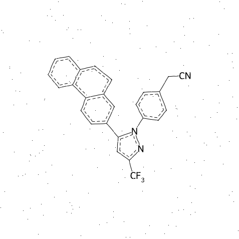 N#CCc1ccc(-n2nc(C(F)(F)F)cc2-c2ccc3c(ccc4ccccc43)c2)cc1